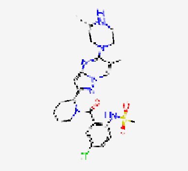 Cc1cn2nc([C@@H]3CCCCN3C(=O)c3cc(Cl)ccc3NS(C)(=O)=O)cc2nc1N1CCN[C@@H](C)C1